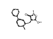 COc1on(C)c(=O)c1Cc1cc(-c2ccccc2)ccc1C